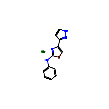 Br.c1ccc(Nc2nc(-c3cc[nH]n3)cs2)cc1